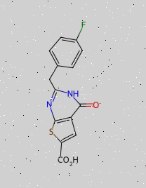 O=C(O)c1cc2c(=O)[nH]c(Cc3ccc(F)cc3)nc2s1